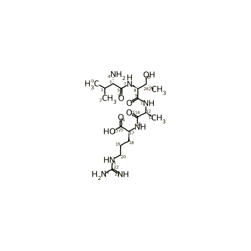 CC(C)[C@H](N)C(=O)N[C@H](C(=O)N[C@@H](C)C(=O)N[C@@H](CCCNC(=N)N)C(=O)O)[C@@H](C)O